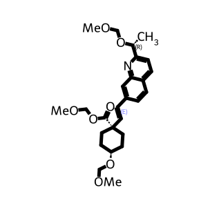 COCOC(=O)[C@]1(/C=C/c2ccc3ccc([C@@H](C)OCOC)nc3c2)CC[C@H](OCOC)CC1